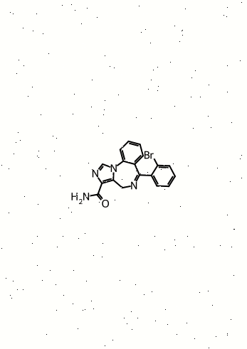 NC(=O)c1ncn2c1CN=C(c1ccccc1Br)c1ccccc1-2